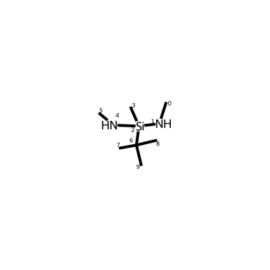 CN[Si](C)(NC)C(C)(C)C